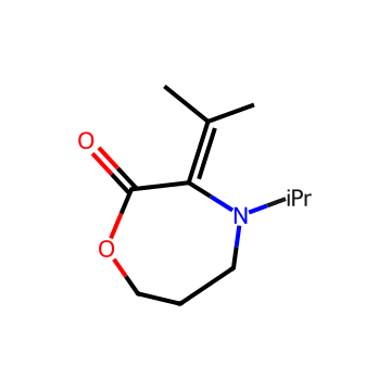 CC(C)=C1C(=O)OCCCN1C(C)C